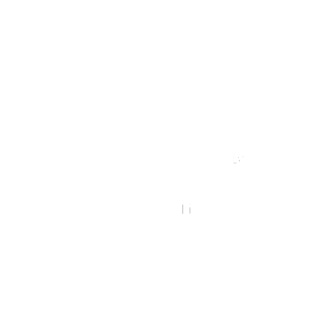 [Li][CH]1C2=C(C=CCC2=CBr)c2ccccc21